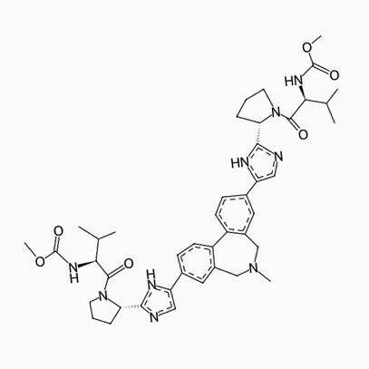 COC(=O)N[C@H](C(=O)N1CCC[C@H]1c1ncc(-c2ccc3c(c2)CN(C)Cc2cc(-c4cnc([C@@H]5CCCN5C(=O)[C@@H](NC(=O)OC)C(C)C)[nH]4)ccc2-3)[nH]1)C(C)C